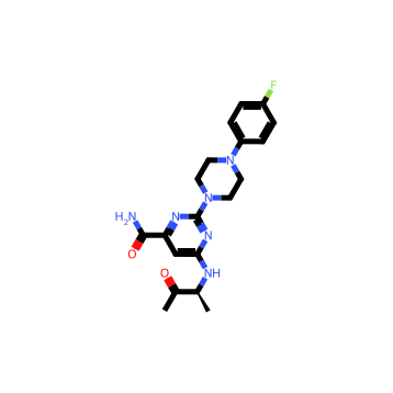 CC(=O)[C@H](C)Nc1cc(C(N)=O)nc(N2CCN(c3ccc(F)cc3)CC2)n1